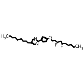 CCCCCCCCCc1cnc(-c2ccc(OCCC(F)CC(F)CCCCC)cc2)nc1